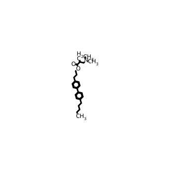 C=C(CN(C)C)C(=O)OCCCc1ccc(-c2ccc(CCCCC)cc2)cc1